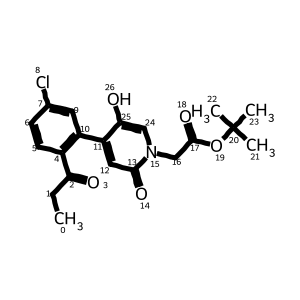 CCC(=O)c1ccc(Cl)cc1-c1cc(=O)n(CC(=O)OC(C)(C)C)cc1O